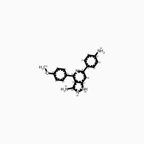 COc1ccc(-c2nc(-c3ccc(N)cc3)cc3[nH]nc(N)c23)cc1